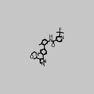 Cc1ccc(NC(=O)c2ccnc(C(C)(C)F)c2)cc1-c1ccc2c(c1)N1CCOCC1c1cn(C)nc1-2